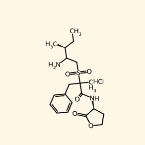 CC[C@H](C)C(N)CS(=O)(=O)C(C)(Cc1ccccc1)C(=O)N[C@H]1CCOC1=O.Cl